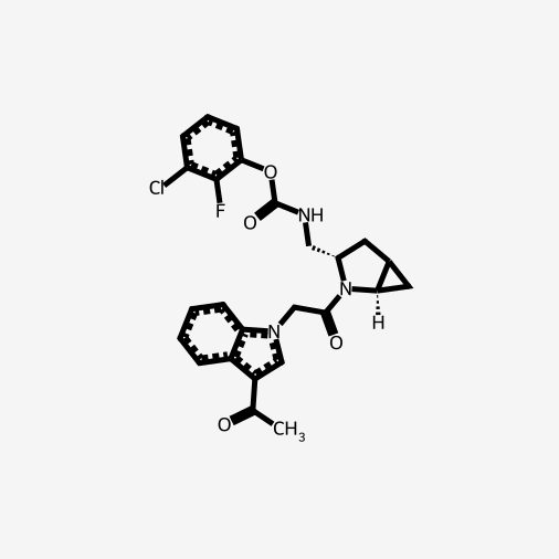 CC(=O)c1cn(CC(=O)N2[C@H](CNC(=O)Oc3cccc(Cl)c3F)CC3C[C@H]32)c2ccccc12